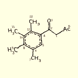 CC(=O)CC(=O)c1cc(C)c(C)c(C)c1C